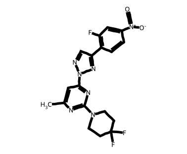 Cc1cc(-n2ncc(-c3ccc([N+](=O)[O-])cc3F)n2)nc(N2CCC(F)(F)CC2)n1